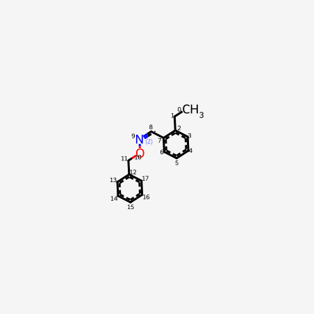 CCc1ccccc1/[C]=N\OCc1ccccc1